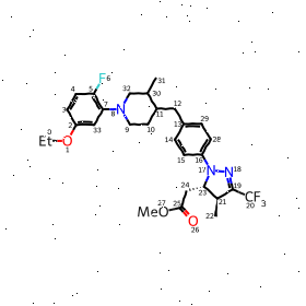 CCOc1ccc(F)c(N2CCC(Cc3ccc(N4N=C(C(F)(F)F)[C@@H](C)[C@@H]4CC(=O)OC)cc3)C(C)C2)c1